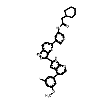 COc1cc(F)cc(-c2ccnc3[nH]c(-c4n[nH]c5ccc(-c6cncc(NC(=O)CC7CCCCC7)c6)nc45)cc23)c1